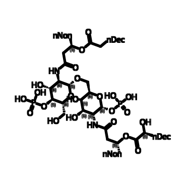 CCCCCCCCCCCC(=O)O[C@H](CCCCCCCCC)CC(=O)N[C@H]1[C@H](OC[C@H]2O[C@H](OP(=O)(O)O)[C@H](NC(=O)C[C@@H](CCCCCCCCC)OC(=O)[C@@H](O)CCCCCCCCCC)[C@@H](O)[C@@H]2O)O[C@H](CO)[C@@H](OP(=O)(O)O)[C@@H]1O